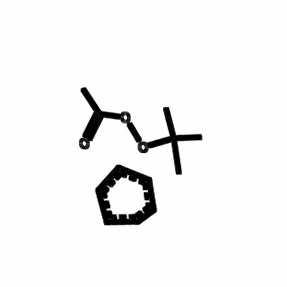 CC(=O)OOC(C)(C)C.c1ccccc1